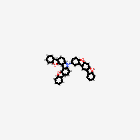 c1ccc2c(c1)oc1cc3oc4ccc(-n5c6ccc7c8ccccc8oc7c6c6c7oc8ccccc8c7ccc65)cc4c3cc12